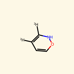 [2H]C1=C([2H])NOC=C1